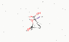 O=C1CCC(I)(C(=O)O)O1